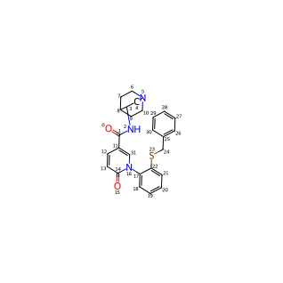 O=C(NC1CN2CCC1CC2)c1ccc(=O)n(-c2ccccc2SCc2ccccc2)c1